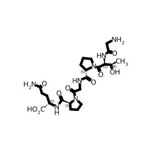 C[C@@H](O)[C@H](NC(=O)CN)C(=O)N1CCC[C@H]1C(=O)NCC(=O)N1CCC[C@H]1C(=O)N[C@@H](CCC(N)=O)C(=O)O